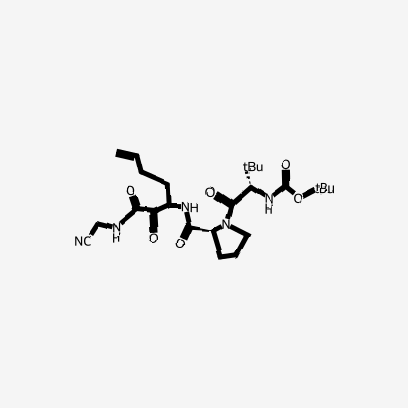 C=CCCC(NC(=O)[C@@H]1CCCN1C(=O)[C@@H](NC(=O)OC(C)(C)C)C(C)(C)C)C(=O)C(=O)NCC#N